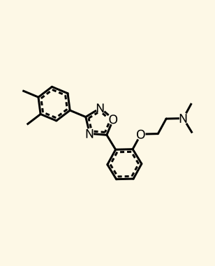 Cc1ccc(-c2noc(-c3ccccc3OCCN(C)C)n2)cc1C